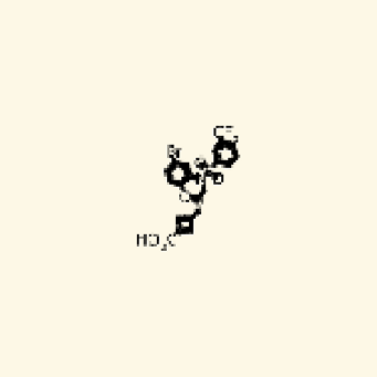 O=C(O)C1CC(C[C@H]2CN(S(=O)(=O)c3cccc(C(F)(F)F)c3)c3cc(Br)ccc3O2)C1